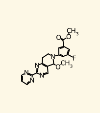 COC(=O)c1cc(F)cc(N2CCc3nc(-c4ncccn4)ncc3C2OC)c1